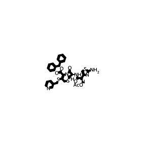 CC(=O)O/N=C(\C(=O)N[C@@H]1C(=O)N2C(C(=O)OC(c3ccccc3)c3ccccc3)=C(SCc3cccnc3)CS[C@H]12)c1csc(N)n1